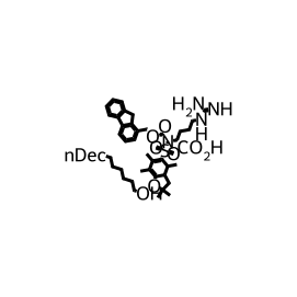 CC1=C2OC(C)(C)CC2C(C)C(S(=O)(=O)N(C(=O)OCc2cccc3c2Cc2ccccc2-3)C(CCCNC(=N)N)C(=O)O)=C1C.CCCCCCCCCCCCCCCCO